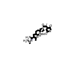 COc1cc([C@@H](C)C(=O)N2CC[C@]3(CCc4cc(/C(N)=N/N(C)N)c(C)nc4N3)C2)c(Cl)cn1